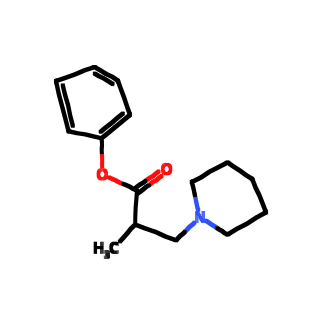 CC(CN1CCCCC1)C(=O)Oc1ccccc1